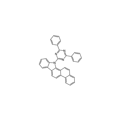 c1ccc(-c2nc(-c3ccccc3)nc(-n3c4ccccc4c4ccc5c6ccccc6ccc5c43)n2)cc1